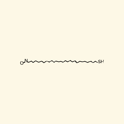 O=C=NCCCCCCCCCCCCCCCCCCCCCCCCCCCCCS